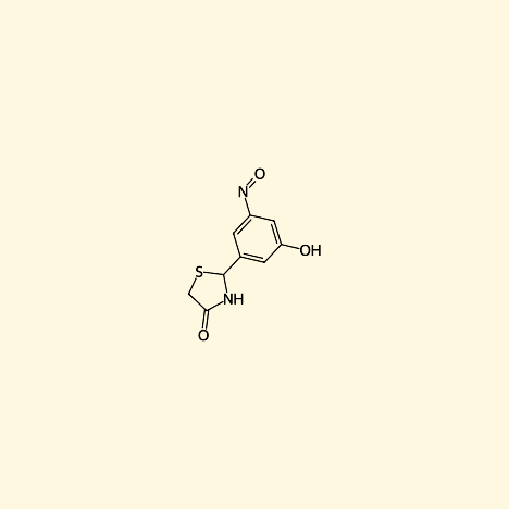 O=Nc1cc(O)cc(C2NC(=O)CS2)c1